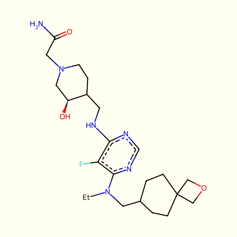 CCN(CC1CCC2(CC1)COC2)c1ncnc(NCC2CCN(CC(N)=O)C[C@@H]2O)c1F